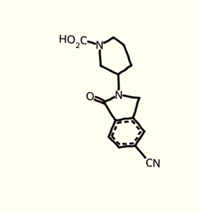 N#Cc1ccc2c(c1)CN(C1CCCN(C(=O)O)C1)C2=O